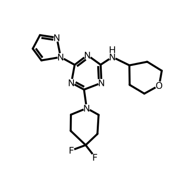 FC1(F)CCN(c2nc(NC3CCOCC3)nc(-n3cccn3)n2)CC1